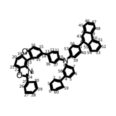 c1ccc(-c2cccc(N(c3ccc(-c4ccc5oc6ccc7oc(-c8ccccc8)nc7c6c5c4)cc3)c3ccc(-c4cc5ccccc5c5ccccc45)cc3)c2)cc1